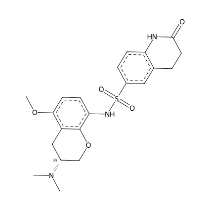 COc1ccc(NS(=O)(=O)c2ccc3c(c2)CCC(=O)N3)c2c1C[C@@H](N(C)C)CO2